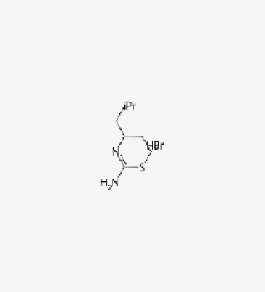 Br.CC(C)CC1CCSC(N)=N1